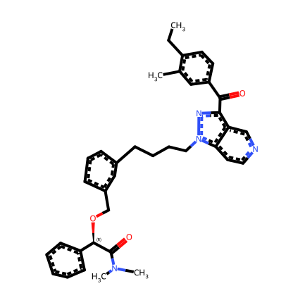 CCc1ccc(C(=O)c2nn(CCCCc3cccc(CO[C@@H](C(=O)N(C)C)c4ccccc4)c3)c3ccncc23)cc1C